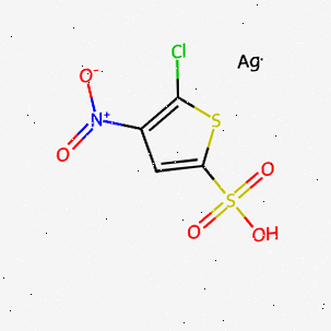 O=[N+]([O-])c1cc(S(=O)(=O)O)sc1Cl.[Ag]